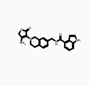 NC1=C(N2CCc3ccc(CNC(=O)c4cccc5[nH]ccc45)cc3C2)C(=O)OC1